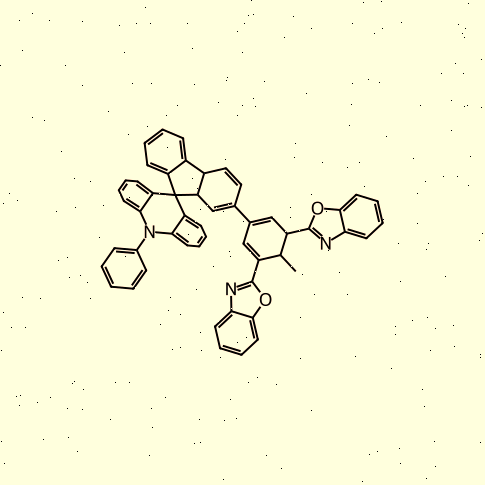 CC1C(c2nc3ccccc3o2)=CC(C2=CC3C(C=C2)c2ccccc2C32c3ccccc3N(c3ccccc3)c3ccccc32)=CC1c1nc2ccccc2o1